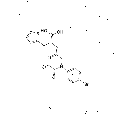 C=CC(=O)N(CC(=O)NC(Cc1cccs1)B(O)O)c1ccc(Br)cc1